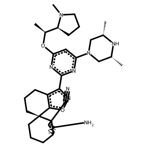 C[C@@H]1CN(c2cc(O[C@@H](C)[C@@H]3CCCN3C)nc(-c3noc4c3CCC[C@@]43CCCc4sc(N)c(C#N)c43)n2)C[C@H](C)N1